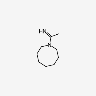 CC(=N)N1CCCCCCC1